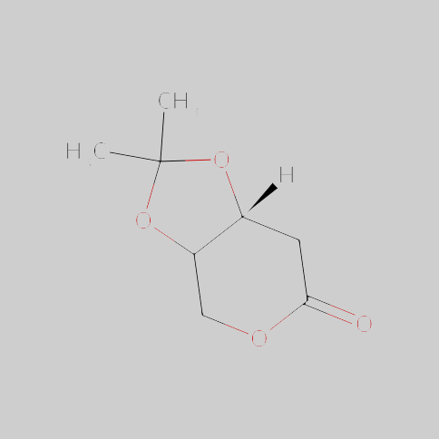 CC1(C)OC2COC(=O)C[C@H]2O1